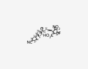 N#Cc1ccc(N2CCN(C(=O)CCC#Cc3c(C(=O)O)cc(F)cc3[N+](=O)[O-])CC2)cc1